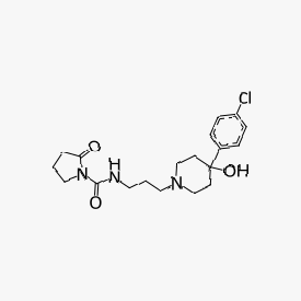 O=C1CCCN1C(=O)NCCCN1CCC(O)(c2ccc(Cl)cc2)CC1